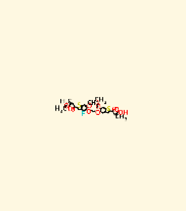 COCOc1cc2sc(C(=O)C[C@H](C)C(=O)O)cc2cc1OCCCOc1c(OC)cc2sc(C(=O)C[C@H](C)C(=O)OC)cc2c1F